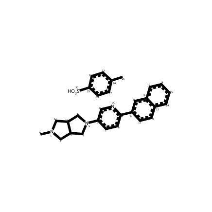 CN1CC2CN(c3ccc(-c4ccc5ccccc5c4)nc3)CC2C1.Cc1ccc(S(=O)(=O)O)cc1